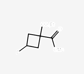 CCOC(=O)C1(C(=O)OC)CC(F)C1